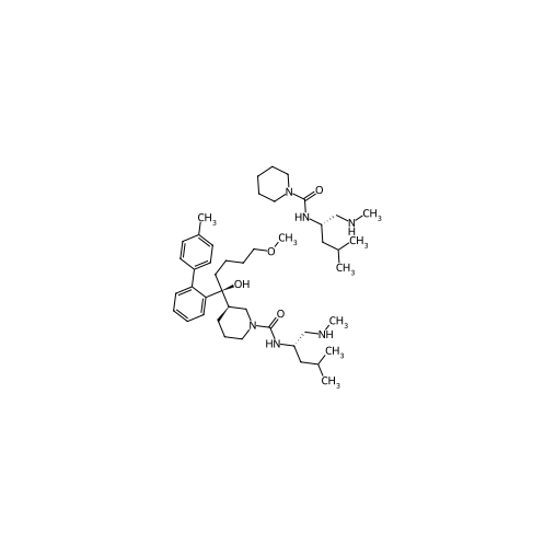 CNC[C@H](CC(C)C)NC(=O)N1CCCCC1.CNC[C@H](CC(C)C)NC(=O)N1CCC[C@@H]([C@@](O)(CCCCOC)c2ccccc2-c2ccc(C)cc2)C1